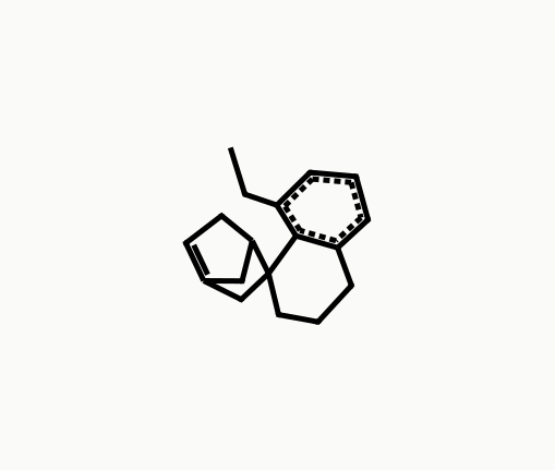 CCc1cccc2c1C1(CCC2)CC2=CCC1C2